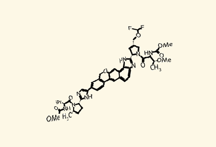 COC(=O)N[C@H](C(=O)N1[C@@H](C)CC[C@H]1c1ncc(-c2ccc3c(c2)COc2cc4c(ccc5nc([C@@H]6C[C@H](COC(F)F)CN6C(=O)[C@@H](NC(=O)OC)[C@@H](C)OC)[nH]c54)cc2-3)[nH]1)C(C)C